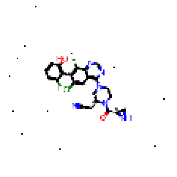 N#CC[C@H]1CN(c2ncnc3c(F)c(-c4c(O)cccc4F)c(Cl)cc23)CCN1C(=O)[C@H]1CN1